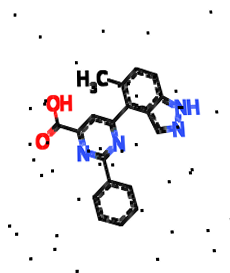 Cc1ccc2[nH]ncc2c1-c1cc(C(=O)O)nc(-c2ccccc2)n1